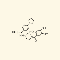 CC(C)c1cc(C(=O)N2CCC(N[C@H](C(=O)O)c3ccc(C4CCCC4)cc3)CC2)c(O)cc1O